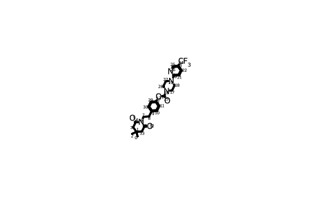 CC1(C)CC(=O)N(CCc2ccc(OC(=O)N3CCN(c4ccc(C(F)(F)F)cn4)CC3)cc2)C(=O)C1